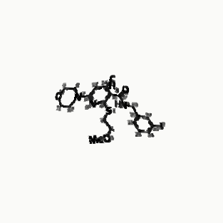 COCCSc1nc(N2CCOCC2)cc(C)c1C(=O)NCc1cccc(F)c1